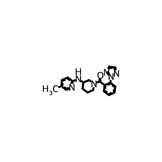 Cc1ccc(NC2CCCN(C(=O)c3ccccc3-n3nccn3)C2)nc1